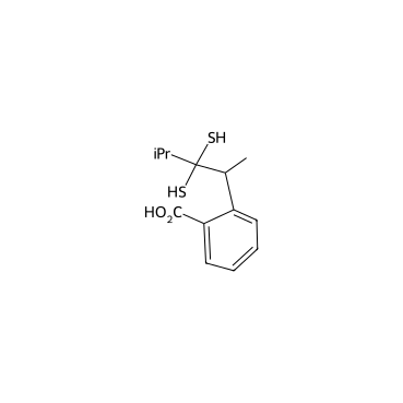 CC(C)C(S)(S)C(C)c1ccccc1C(=O)O